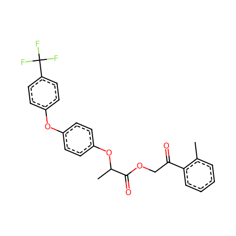 Cc1ccccc1C(=O)COC(=O)C(C)Oc1ccc(Oc2ccc(C(F)(F)F)cc2)cc1